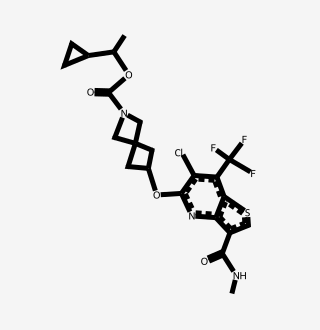 CNC(=O)c1csc2c(C(F)(F)F)c(Cl)c(OC3CC4(C3)CN(C(=O)OC(C)C3CC3)C4)nc12